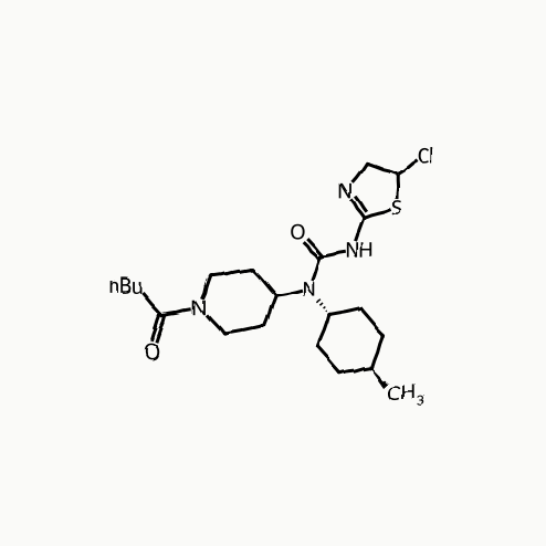 CCCCC(=O)N1CCC(N(C(=O)NC2=NCC(Cl)S2)[C@H]2CC[C@H](C)CC2)CC1